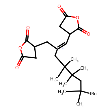 CC(C)(C)C(C)(C)CC(C)(C)C(C)(C)C/C(=C/C1CC(=O)OC1=O)CC1CC(=O)OC1=O